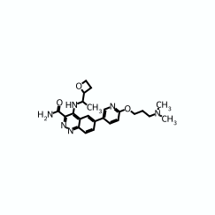 CC(Nc1c(C(N)=O)nnc2ccc(-c3ccc(OCCCN(C)C)nc3)cc12)C1CCO1